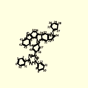 c1ccc(-c2nc(-c3ccccc3)nc(-c3ccc(-n4c5cc6ccn(-c7ccccc7)c6cc5c5ccc6sc7ccccc7c6c54)cc3)n2)cc1